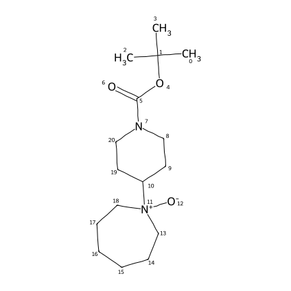 CC(C)(C)OC(=O)N1CCC([N+]2([O-])CCCCCC2)CC1